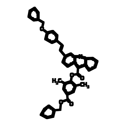 Cc1cc(C(=O)OCc2ccccc2)cc(C)c1OC(=O)c1c2ccccc2nc2cc(C=Cc3ccc(OCc4ccccc4)cc3)ccc12